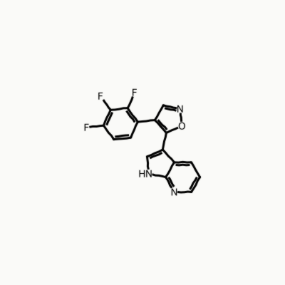 Fc1ccc(-c2cnoc2-c2c[nH]c3ncccc23)c(F)c1F